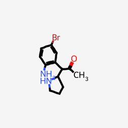 CC(=O)C(c1cc(Br)ccc1N)C1CCCN1